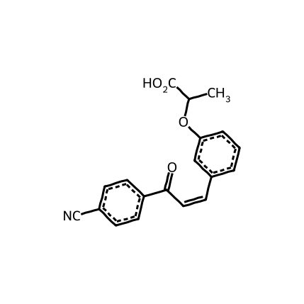 CC(Oc1cccc(/C=C\C(=O)c2ccc(C#N)cc2)c1)C(=O)O